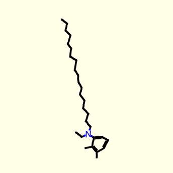 CCCCCCCCCCCCCCCCCCN(CC)c1cccc(C)c1C